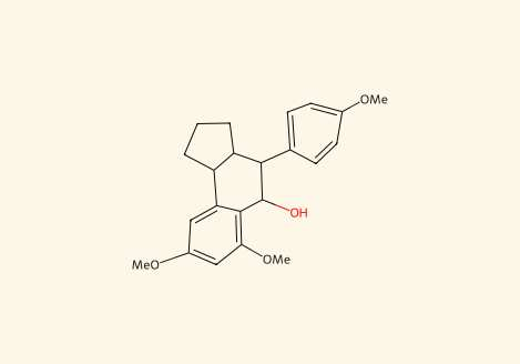 COc1ccc(C2C(O)c3c(OC)cc(OC)cc3C3CCCC32)cc1